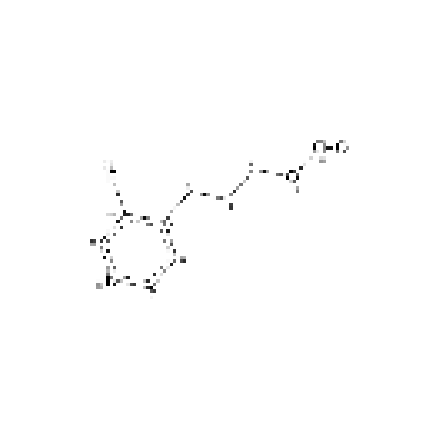 O=COCCCc1ccncc1F